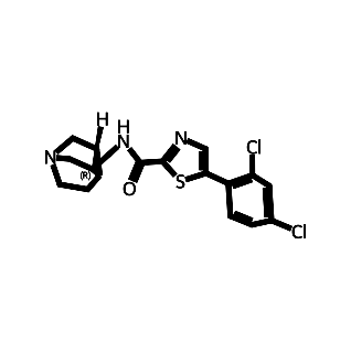 O=C(N[C@H]1CN2CCC1CC2)c1ncc(-c2ccc(Cl)cc2Cl)s1